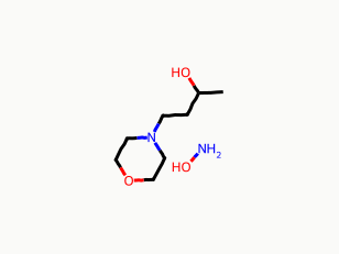 CC(O)CCN1CCOCC1.NO